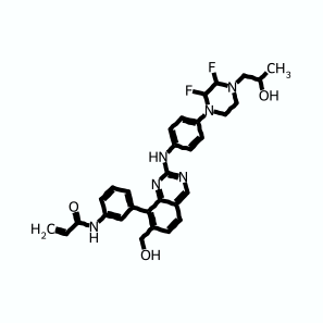 C=CC(=O)Nc1cccc(-c2c(CO)ccc3cnc(Nc4ccc(N5CCN(CC(C)O)C(F)C5F)cc4)nc23)c1